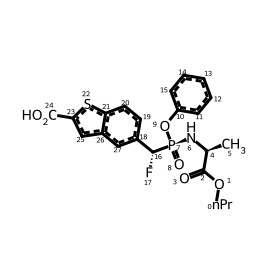 CCCOC(=O)[C@H](C)N[P@](=O)(Oc1ccccc1)[C@H](F)c1ccc2sc(C(=O)O)cc2c1